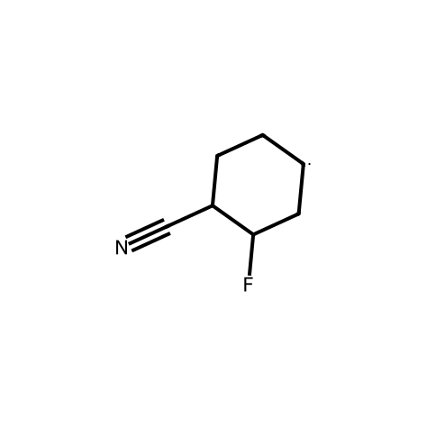 N#CC1CC[CH]CC1F